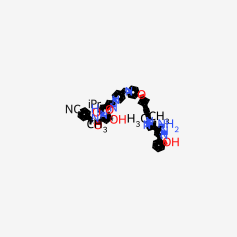 CC(C)[C@@H](C(=O)N1C[C@H](O)C[C@H]1C(=O)N[C@@H](C)c1ccc(C#N)cc1)c1cc(N2CCC(CN3CCC(OC4CC(C#CC(C)(C)n5cc(-c6cc(-c7ccccc7O)nnc6N)cn5)C4)CC3)CC2)no1